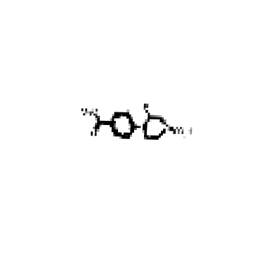 COC(=O)c1ccc([C@@H]2CCN(C(=O)O)C[C@@H]2F)cc1